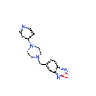 c1cc(N2CCN(Cc3ccc4nonc4c3)CC2)ccn1